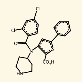 O=C(O)c1sc(-c2ccccc2)cc1N(C(=O)c1ccc(Cl)cc1Cl)C1CCNCC1